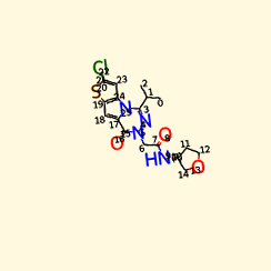 CC(C)c1nn(CC(=O)N[C@@H]2CCOC2)c(=O)c2cc3sc(Cl)cc3n12